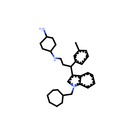 Cc1cccc(C(CCNC2CCC(N)CC2)c2cn(CC3CCCCCC3)c3ccccc23)c1